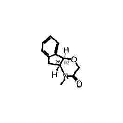 CN1C(=O)CO[C@@H]2c3ccccc3C[C@H]21